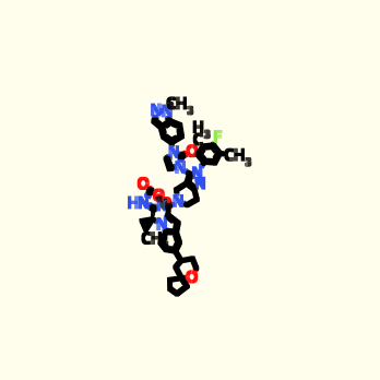 Cc1cc(-n2nc3c(c2-n2ccn(-c4ccc5c(cnn5C)c4)c2=O)CN(C(=O)c2cc4cc(C5CCOC6(CCCC6)C5)ccc4n2[C@@]2(c4noc(=O)[nH]4)C[C@@H]2C)CC3)cc(C)c1F